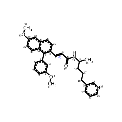 COc1cccc(-c2c(/C=C/C(=O)NC(C)CCCc3cccnc3)ccc3cc(OC)ccc23)c1